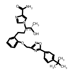 C[C@H](O)[C@@H](CCc1ccccc1OCc1noc(-c2ccc(C(C)(C)C)cc2)n1)n1cnc(C(N)=O)c1